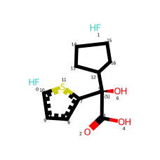 F.F.O=C(O)[C@](O)(c1cccs1)C1CCCC1